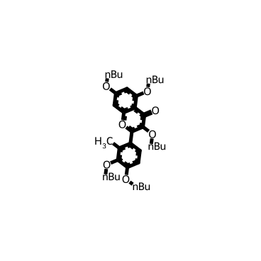 CCCCOc1cc(OCCCC)c2c(=O)c(OCCCC)c(-c3ccc(OCCCC)c(OCCCC)c3C)oc2c1